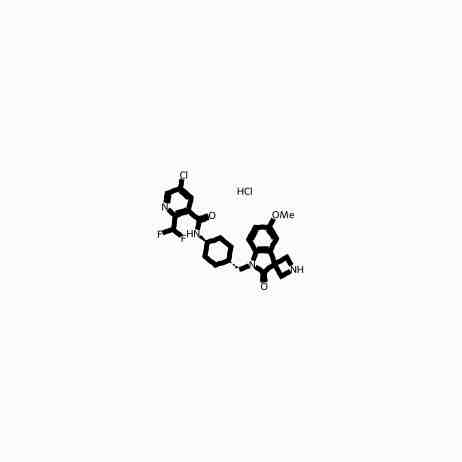 COc1ccc2c(c1)C1(CNC1)C(=O)N2C[C@H]1CC[C@H](NC(=O)c2cc(Cl)cnc2C(F)F)CC1.Cl